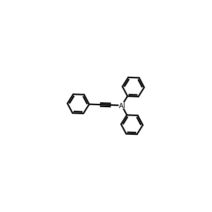 C(#[C][Al]([c]1ccccc1)[c]1ccccc1)c1ccccc1